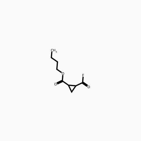 CCCCOC(=O)C1CC1C(=O)F